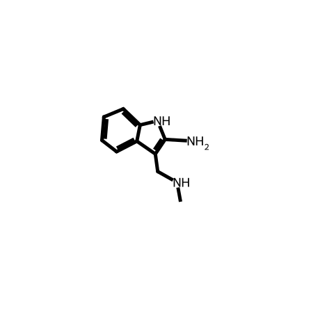 CNCc1c(N)[nH]c2ccccc12